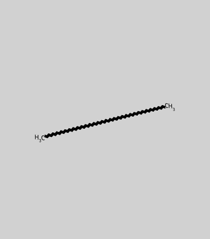 CCCCCCCCCCCCCCCCCCCCCCCCCCCCCCCCCCCCCCCCCCCCCCCCCCCCCCCCCCCCCC